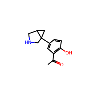 CC(=O)c1cc(C23CNCC2C3)ccc1O